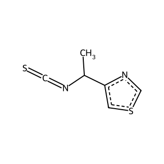 CC(N=C=S)c1cscn1